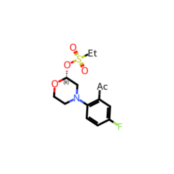 CCS(=O)(=O)O[C@@H]1CN(c2ccc(F)cc2C(C)=O)CCO1